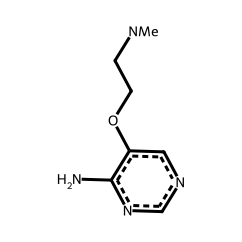 CNCCOc1cncnc1N